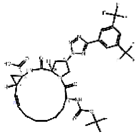 CC(C)(C)OC(=O)N[C@H]1CCCCC/C=C\[C@@H]2C[C@@]2(C(=O)O)NC(=O)[C@@H]2C[C@@H](n3nnc(-c4cc(C(F)(F)F)cc(C(F)(F)F)c4)n3)CN2C1=O